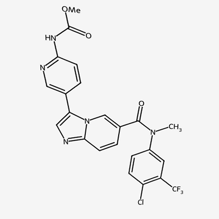 COC(=O)Nc1ccc(-c2cnc3ccc(C(=O)N(C)c4ccc(Cl)c(C(F)(F)F)c4)cn23)cn1